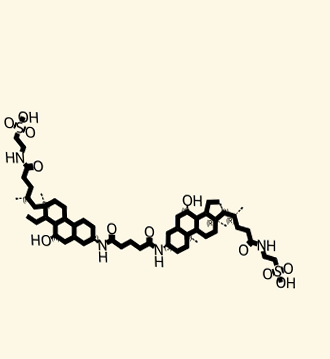 CCC1C2C(CC[C@]1(C)C[C@H](C)CCC(=O)NCCS(=O)(=O)O)C1CC[C@@H](NC(=O)CCCC(=O)N[C@H]3CC[C@@]4(C)C(C3)C[C@H](O)C3C4CC[C@@]4(C)C3CC[C@@H]4[C@H](C)CCC(=O)NCCS(=O)(=O)O)CC1C[C@H]2O